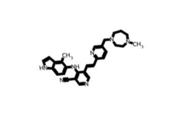 Cc1c(Nc2c(C#N)cncc2C=Cc2ccc(CN3CCCN(C)CC3)cn2)ccc2[nH]ccc12